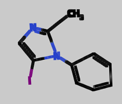 Cc1ncc(I)n1-c1ccccc1